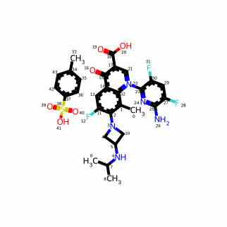 Cc1c(N2CC(NC(C)C)C2)c(F)cc2c(=O)c(C(=O)O)cn(-c3nc(N)c(F)cc3F)c12.Cc1ccc(S(=O)(=O)O)cc1